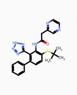 CC(C)(C)Sc1ccc(-c2ccccc2)c(-c2nn[nH]n2)c1NC(=O)Cc1cnccn1